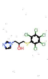 OC(CSc1c(Cl)c(Cl)c(Cl)c(Cl)c1Cl)Cn1ccnc1